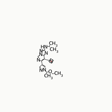 CCOC(C)n1cc(-c2ncn3nc(NC(C)C)nc3c2N2CC3CC2C3)cn1